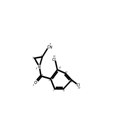 N#CC1CN1C(=O)c1ccc(Cl)cc1Cl